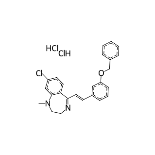 CN1CCN=C(/C=C/c2cccc(OCc3ccccc3)c2)c2ccc(Cl)cc21.Cl.Cl